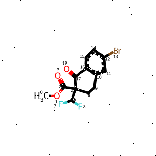 COC(=O)C1(C(F)F)CCc2cc(Br)ccc2C1=O